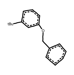 CC(C)(C)c1cccc(OCc2ccccc2)c1